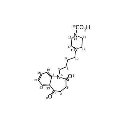 O=C1CCC(=O)N(CCCCN2CCN(C(=O)O)CC2)c2ccccc21